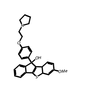 COC1=CC2SC3=C(C2C=C1)C(O)(c1ccc(OCCN2CCCC2)cc1)c1ccccc13